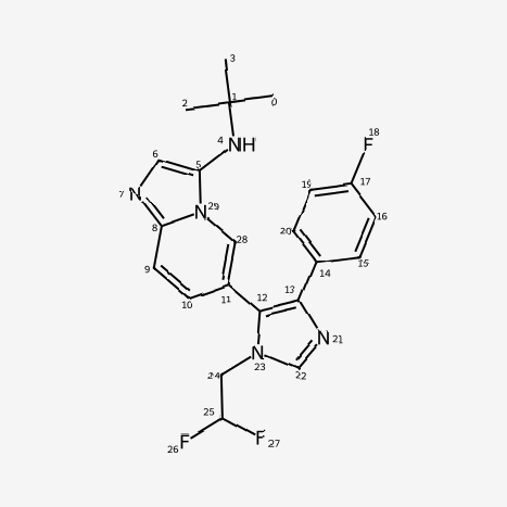 CC(C)(C)Nc1cnc2ccc(-c3c(-c4ccc(F)cc4)ncn3CC(F)F)cn12